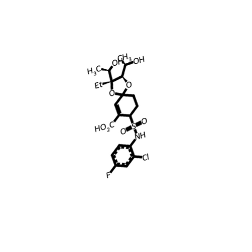 CC[C@]1([C@@H](C)O)OC2(C=C(C(=O)O)C(S(=O)(=O)Nc3ccc(F)cc3Cl)CC2)O[C@@H]1[C@@H](C)O